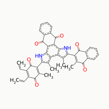 C=CC1=C(C=C)C(=O)C(c2[nH]c3c4c(c5[nH]c(C6=C(C)C(=O)c7ccccc7C6=O)c(C)c5c3c2C)C(=O)c2ccccc2C4=O)=C(C)C1=O